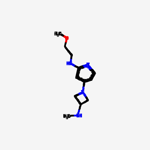 CNC1CN(c2ccnc(NCCOC)c2)C1